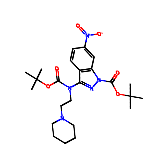 CC(C)(C)OC(=O)N(CCN1CCCCC1)c1nn(C(=O)OC(C)(C)C)c2cc([N+](=O)[O-])ccc12